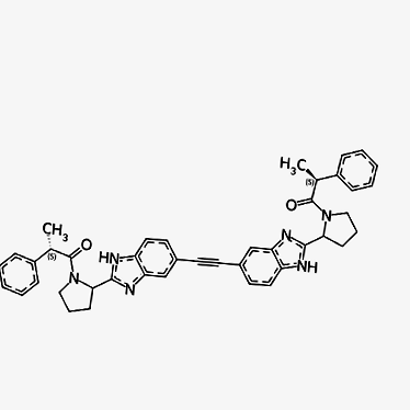 C[C@H](C(=O)N1CCCC1c1nc2cc(C#Cc3ccc4[nH]c(C5CCCN5C(=O)[C@@H](C)c5ccccc5)nc4c3)ccc2[nH]1)c1ccccc1